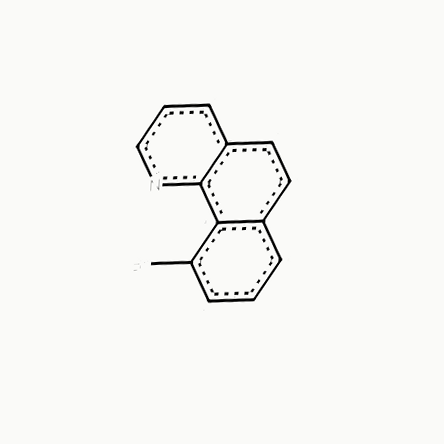 Brc1cccc2ccc3cccnc3c12